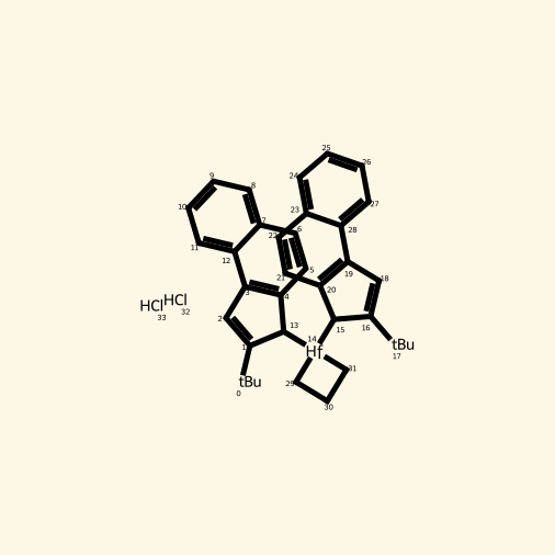 CC(C)(C)C1=Cc2c(ccc3ccccc23)[CH]1[Hf]1([CH]2C(C(C)(C)C)=Cc3c2ccc2ccccc32)[CH2]C[CH2]1.Cl.Cl